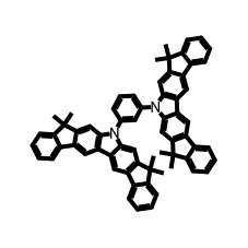 CC1(C)c2ccccc2-c2cc3c4cc5c(cc4n(-c4cccc(-n6c7cc8c(cc7c7cc9c(cc76)C(C)(C)c6ccccc6-9)-c6ccccc6C8(C)C)c4)c3cc21)C(C)(C)c1ccccc1-5